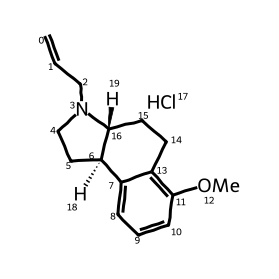 C=CCN1CC[C@@H]2c3cccc(OC)c3CC[C@H]21.Cl